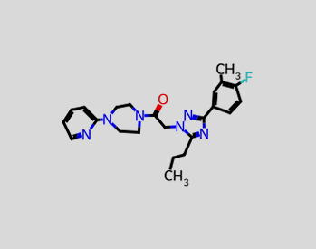 CCCc1nc(-c2ccc(F)c(C)c2)nn1CC(=O)N1CCN(c2ccccn2)CC1